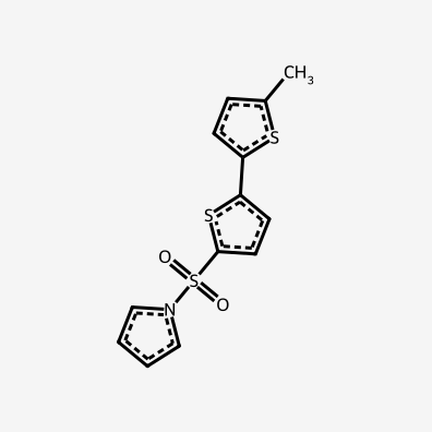 Cc1ccc(-c2ccc(S(=O)(=O)n3cccc3)s2)s1